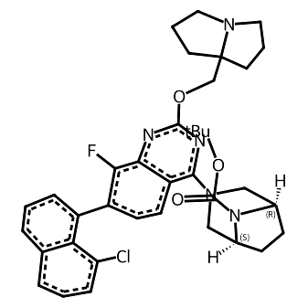 CC(C)(C)OC(=O)N1[C@@H]2CC[C@H]1CN(c1nc(OCC34CCCN3CCC4)nc3c(F)c(-c4cccc5cccc(Cl)c45)ccc13)C2